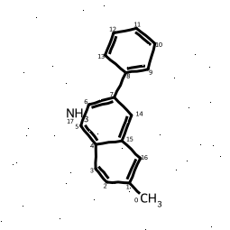 Cc1ccc2ccc(-c3ccccc3)cc2c1.N